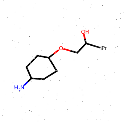 CC(C)C(O)COC1CCC(N)CC1